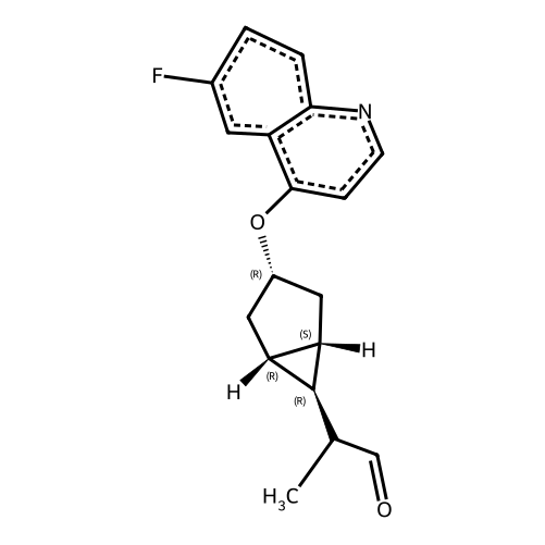 CC(C=O)[C@H]1[C@@H]2C[C@H](Oc3ccnc4ccc(F)cc34)C[C@@H]21